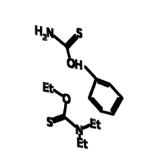 CCOC(=S)N(CC)CC.Cc1ccccc1.NC(O)=S